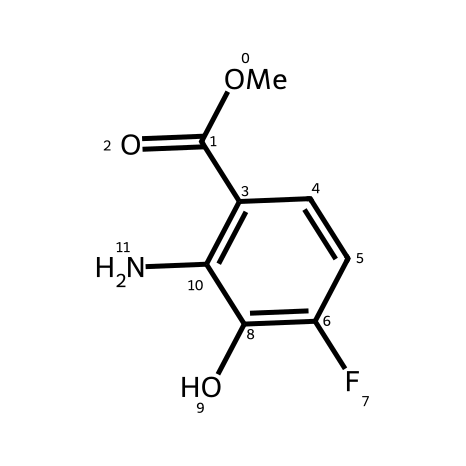 COC(=O)c1ccc(F)c(O)c1N